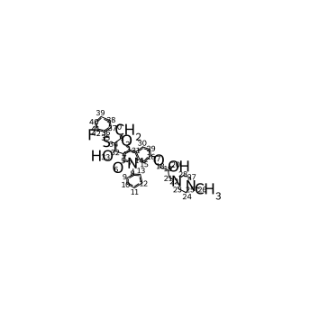 C=C1Oc2c(c(=O)n(-c3ccccc3)c3cc(OC[C@@H](O)CN4CCN(C)CC4)ccc23)C(O)=C1Sc1ccccc1F